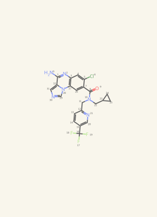 Nc1nc2cc(Cl)c(C(=O)N(Cc3ccc(C(F)(F)F)cn3)CC3CC3)cc2n2cncc12